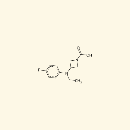 CCN(c1ccc(F)cc1)C1CN(C(=O)O)C1